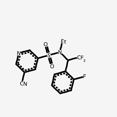 CCN(C(c1ccccc1F)C(F)(F)F)S(=O)(=O)c1cncc(C#N)c1